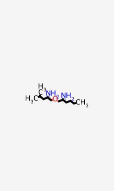 CCCC[C@H](N)COC[C@H](N)CC(C)C